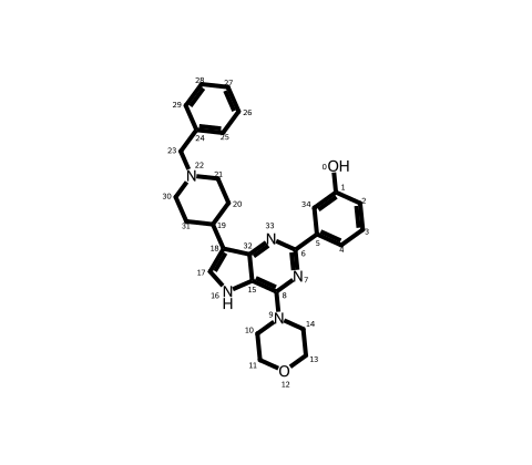 Oc1cccc(-c2nc(N3CCOCC3)c3[nH]cc(C4CCN(Cc5ccccc5)CC4)c3n2)c1